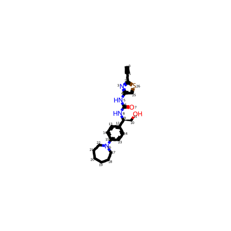 C#Cc1nc(NC(=O)N[C@@H](CO)c2ccc(N3CCCCCC3)cc2)cs1